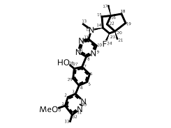 COc1cc(-c2ccc(-c3ncc(N(C)[C@H]4C[C@]5(C)CC[C@@](C)(C5)[C@H]4F)nn3)c(O)c2)nnc1C